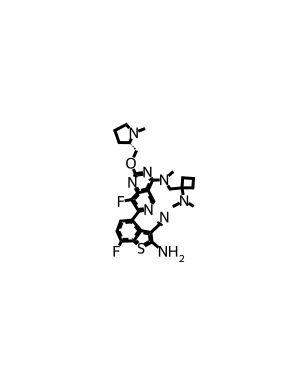 CN(CC1(N(C)C)CCC1)c1nc(OC[C@@H]2CCCN2C)nc2c(F)c(-c3ccc(F)c4sc(N)c(C#N)c34)ncc12